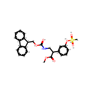 COC(=O)C(CNC(=O)OCC1c2ccccc2-c2ccccc21)c1cccc(OS(C)(=O)=O)c1